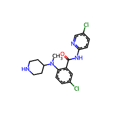 CN(c1ccc(Cl)cc1C(=O)Nc1ccc(Cl)cn1)C1CCNCC1